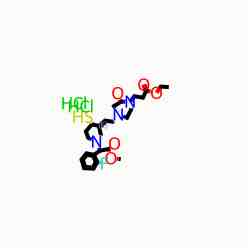 CCOC(=O)CCN1CCN(C/C=C2\CN(C(C(=O)OC)c3ccccc3F)CCC2S)CC1=O.Cl.Cl